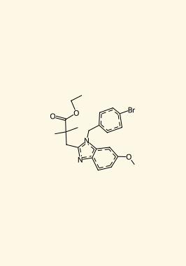 CCOC(=O)C(C)(C)Cc1nc2ccc(OC)cc2n1Cc1ccc(Br)cc1